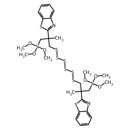 CO[Si](CC(C)(CSSSSSSCC(C)(C[Si](OC)(OC)OC)c1nc2ccccc2s1)c1nc2ccccc2s1)(OC)OC